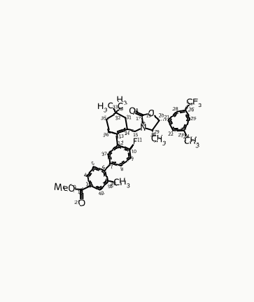 COC(=O)c1ccc(-c2ccc(F)c(C3=C(CN4C(=O)O[C@H](c5cc(C)cc(C(F)(F)F)c5)[C@@H]4C)CC(C)(C)CC3)c2)c(C)c1